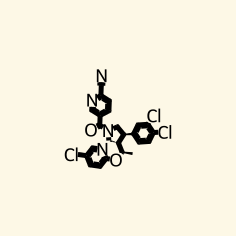 C[C@@H](Oc1ccc(Cl)cn1)[C@@H]1CN(C(=O)c2ccc(C#N)nc2)C[C@H]1c1ccc(Cl)c(Cl)c1